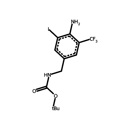 CC(C)(C)OC(=O)NCc1cc(I)c(N)c(C(F)(F)F)c1